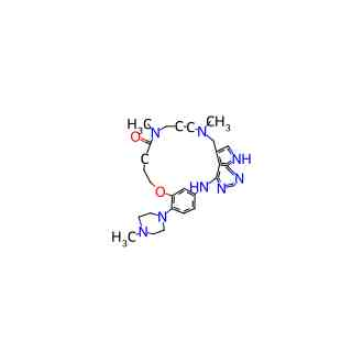 CN1CCN(c2ccc3cc2OCCCC(=O)N(C)CCCN(C)Cc2c[nH]c4ncnc(c24)N3)CC1